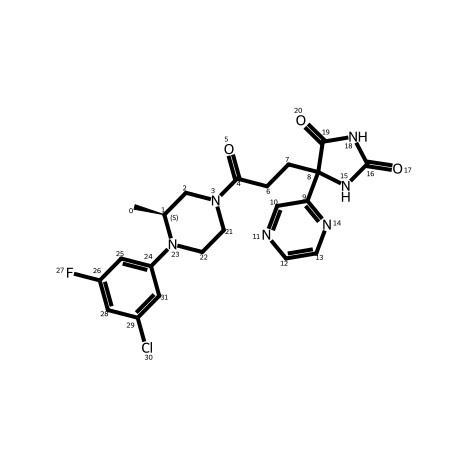 C[C@H]1CN(C(=O)CCC2(c3cnccn3)NC(=O)NC2=O)CCN1c1cc(F)cc(Cl)c1